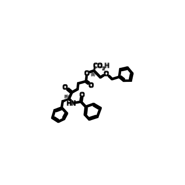 O=C(CCC(=O)[C@H](Cc1ccccc1)NC(=O)c1ccccc1)O[C@@H](COCc1ccccc1)C(=O)O